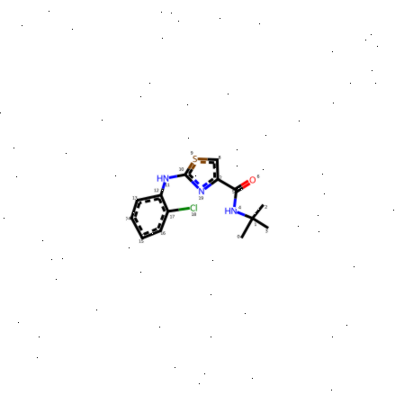 CC(C)(C)NC(=O)c1csc(Nc2ccccc2Cl)n1